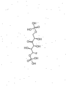 O=C([C@H](O)COP(=O)(O)O)[C@@H](O)[C@H](O)C(F)OP(=O)(O)O